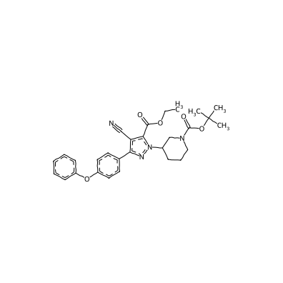 CCOC(=O)c1c(C#N)c(-c2ccc(Oc3ccccc3)cc2)nn1C1CCCN(C(=O)OC(C)(C)C)C1